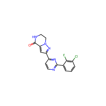 O=C1NCCn2nc(-c3ccnc(-c4cccc(Cl)c4F)n3)cc21